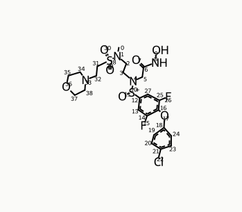 CN(CCN(CC(=O)NO)[S+]([O-])c1cc(F)c(Oc2ccc(Cl)cc2)c(F)c1)S(=O)(=O)CCN1CCOCC1